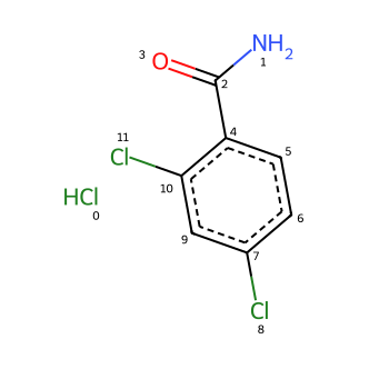 Cl.NC(=O)c1ccc(Cl)cc1Cl